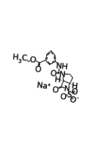 CCOC(=O)c1cccc(NC(=O)N2CC[C@@H]3[C@H]2C(=O)N3S(=O)(=O)[O-])c1.[Na+]